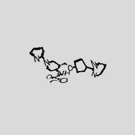 CS(=O)(=O)NC1CCN(c2ccccn2)C[C@H]1COC1CCC(c2ncccn2)CC1